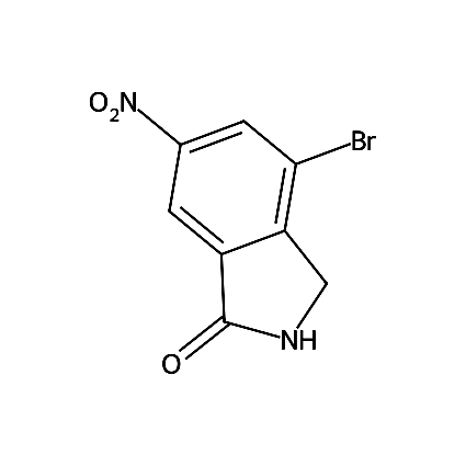 O=C1NCc2c(Br)cc([N+](=O)[O-])cc21